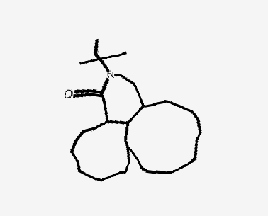 CC(C)(C)N1CC2CCCCCCC3CCCCCC(C1=O)C32